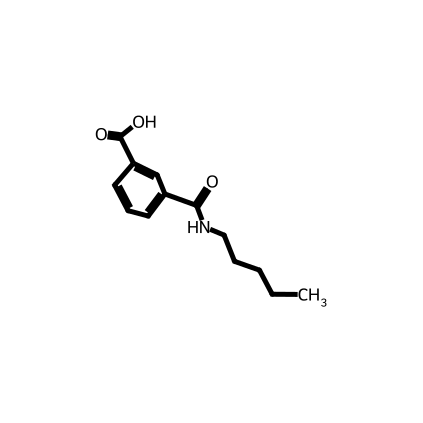 CCCCCNC(=O)c1cccc(C(=O)O)c1